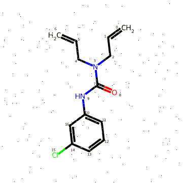 C=CCN(CC=C)C(=O)Nc1cccc(Cl)c1